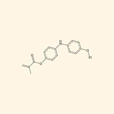 C=C(C)C(=O)Oc1ccc(Nc2ccc(OCC)cc2)cc1